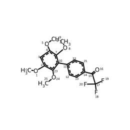 COc1cc(OC)c(OC)c(-c2ccc(C(=O)C(F)(F)F)cc2)c1OC